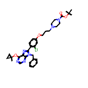 CC(C)(C)OC(=O)N1CCN(CCCOc2ccc(-c3nc4c(OC5(C)CC5)ncnc4n3Cc3ccccc3)c(Cl)c2)CC1